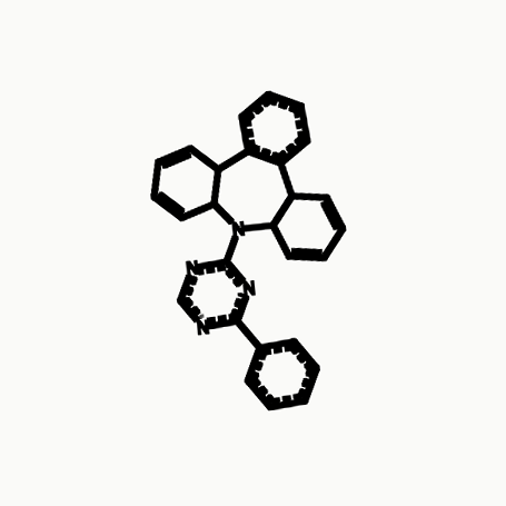 C1=CC2c3ccccc3C3C=CC=CC3N(c3ncnc(-c4ccccc4)n3)C2C=C1